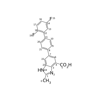 Cc1nc2c(C(=O)O)cc(-c3ccc(-c4cc(F)ccc4F)cc3)cc2[nH]1